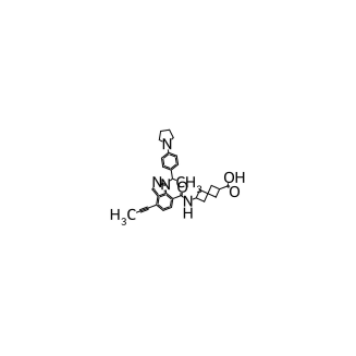 CC#Cc1ccc(C(=O)NC2CC3(C2)CC(C(=O)O)C3)c2c1cnn2C(C)c1ccc(N2CCCC2)cc1